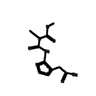 COC(=O)N(C)C(=O)Nc1sccc1CC(=O)O